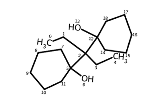 CCC(CC)(C1(O)CCCCC1)C1(O)CCCCC1